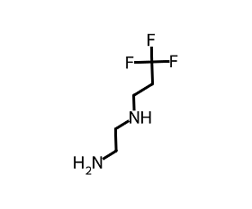 NCCNCCC(F)(F)F